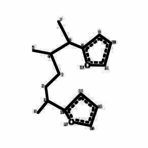 CC(CCC(C)C(C)c1ccco1)c1ccco1